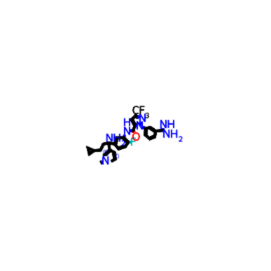 C=N/C=C(\C=C/C)C(N)(CCC1CC1)c1ccc(F)c(NC(=O)c2cc(C(F)(F)F)nn2-c2cccc(C(=N)N)c2)c1